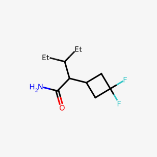 CCC(CC)C(C(N)=O)C1CC(F)(F)C1